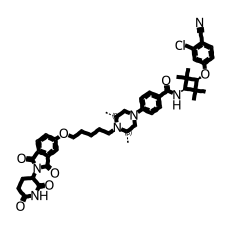 C[C@@H]1CN(c2ccc(C(=O)N[C@H]3C(C)(C)[C@H](Oc4ccc(C#N)c(Cl)c4)C3(C)C)cc2)C[C@H](C)N1CCCCCOc1ccc2c(c1)C(=O)N(C1CCC(=O)NC1=O)C2=O